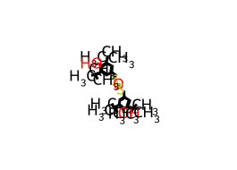 CC(C)(C)c1cc(CSOSCc2cc(C(C)(C)C)c(O)c(C(C)(C)C)c2)cc(C(C)(C)C)c1O